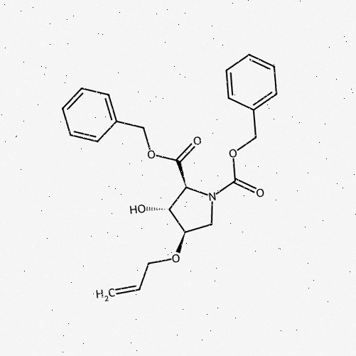 C=CCO[C@@H]1CN(C(=O)OCc2ccccc2)[C@H](C(=O)OCc2ccccc2)[C@H]1O